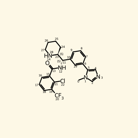 Cn1cncc1-c1cccc([C@H](NC(=O)c2cccc(C(F)(F)F)c2Cl)[C@@H]2CCCCN2)c1